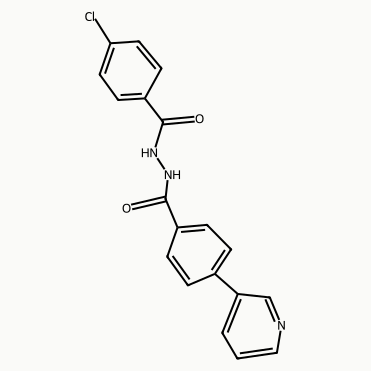 O=C(NNC(=O)c1ccc(-c2cccnc2)cc1)c1ccc(Cl)cc1